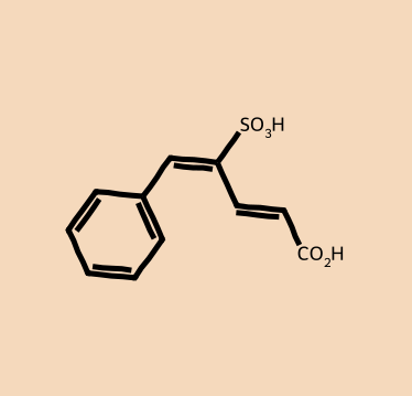 O=C(O)C=CC(=Cc1ccccc1)S(=O)(=O)O